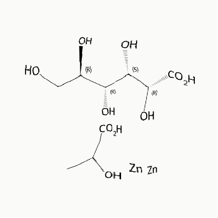 CC(O)C(=O)O.O=C(O)[C@H](O)[C@@H](O)[C@H](O)[C@H](O)CO.[Zn].[Zn]